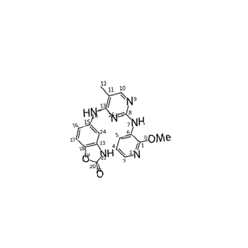 COc1ncccc1Nc1ncc(C)c(Nc2ccc3oc(=O)[nH]c3c2)n1